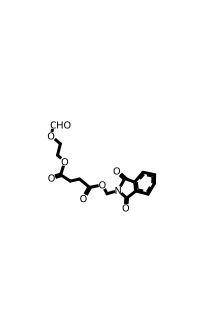 O=COCCOC(=O)CCC(=O)OCN1C(=O)c2ccccc2C1=O